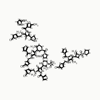 CC1C(c2nn(C(=O)c3ccsc3)c(N(C)Cc3ccc(Cl)s3)c2F)NCCN1S(C)(=O)=O.COc1c(C2CN(C(=O)N3CCCC3)CCC2C)nn(C(=O)c2ccsc2)c1NCc1ccc(Cl)s1.Cc1c(C2CN(S(=O)(=O)N3CCCC3)C2C)nn(C(=O)c2ccsc2)c1NCc1ccc(Cl)s1.Cc1cc(C(=O)n2nc(C3CCNC3)c(F)c2N(C)Cc2ccc(Cl)s2)co1.Nc1ccn[nH]1